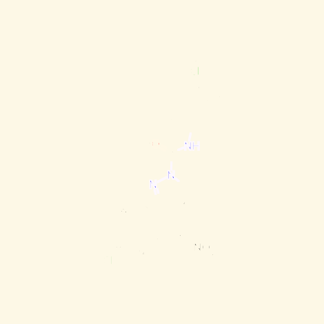 CC(C)(CC1CN(C(=O)Nc2ccc(Cl)cc2)N=C1c1ccc(Cl)cc1)[N+](=O)[O-]